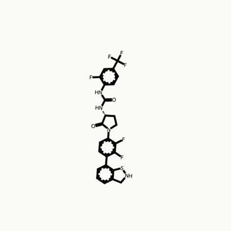 O=C(Nc1ccc(C(F)(F)F)cc1F)N[C@@H]1CCN(c2ccc(-c3cccc4c3SNC4)c(F)c2F)C1=O